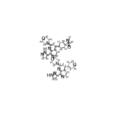 C1=C(c2cc(N3CCOCC3)nc3c(-c4cc[nH]n4)nccc23)CCOC1.CN=S(C)(=O)c1ccc(-c2cc(N3CCOCC3)nc3c(-c4ccn[nH]4)nccc23)cc1